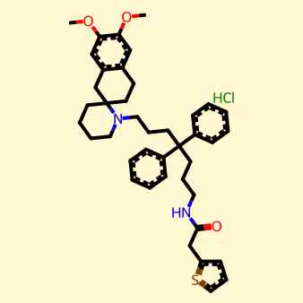 COc1cc2c(cc1OC)CC1(CCCCN1CCCC(CCCNC(=O)Cc1cccs1)(c1ccccc1)c1ccccc1)CC2.Cl